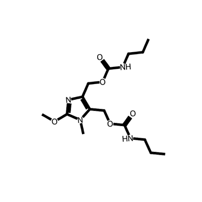 CCCNC(=O)OCc1nc(OC)n(C)c1COC(=O)NCCC